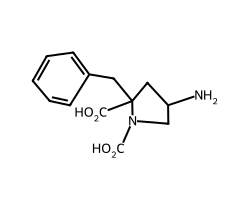 NC1CN(C(=O)O)C(Cc2ccccc2)(C(=O)O)C1